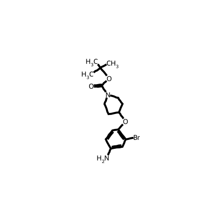 CC(C)(C)OC(=O)N1CCC(Oc2ccc(N)cc2Br)CC1